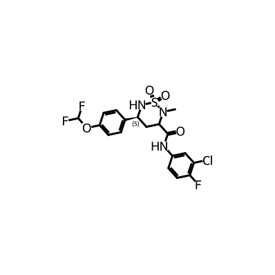 CN1C(C(=O)Nc2ccc(F)c(Cl)c2)C[C@@H](c2ccc(OC(F)F)cc2)NS1(=O)=O